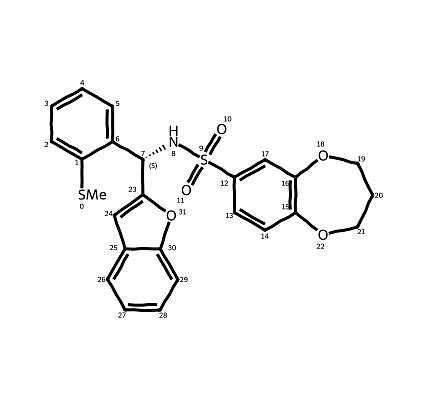 CSc1ccccc1[C@H](NS(=O)(=O)c1ccc2c(c1)OCCCO2)c1cc2ccccc2o1